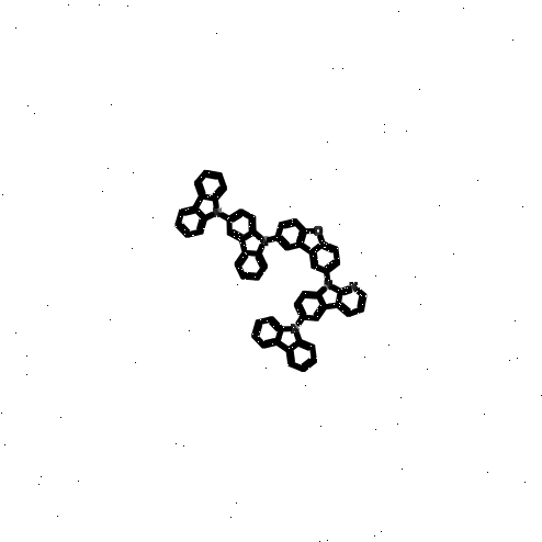 c1ccc2c(c1)c1ccccc1n2-c1ccc2c(c1)c1ccccc1n2-c1ccc2oc3ccc(-n4c5ccc(-n6c7ccccc7c7ccccc76)cc5c5cccnc54)cc3c2c1